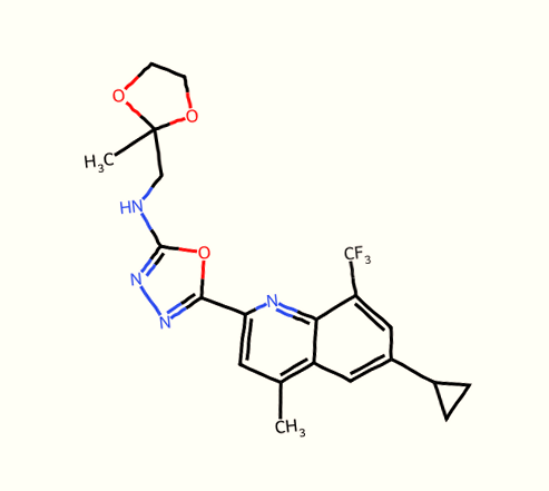 Cc1cc(-c2nnc(NCC3(C)OCCO3)o2)nc2c(C(F)(F)F)cc(C3CC3)cc12